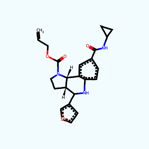 C=CCOC(=O)N1CC[C@H]2C(c3ccsc3)Nc3ccc(C(=O)NC4CC4)cc3[C@H]21